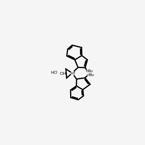 CCCCC1=Cc2ccccc2[CH]1[Hf]1([CH]2C(CCCC)=Cc3ccccc32)[CH2][CH2]1.Cl.Cl